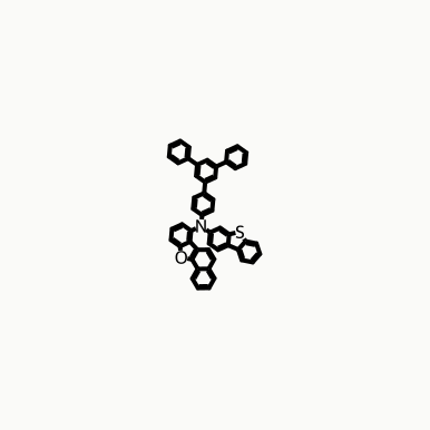 c1ccc(-c2cc(-c3ccccc3)cc(-c3ccc(N(c4ccc5c(c4)sc4ccccc45)c4cccc5oc6c7ccccc7ccc6c45)cc3)c2)cc1